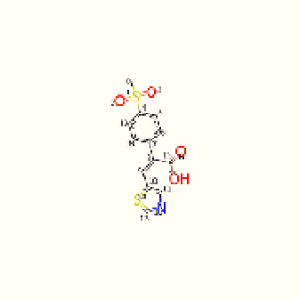 CS(=O)(=O)c1ccc(C(=Cc2cncs2)C(=O)O)cc1